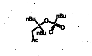 CCCCS(CCCC)(CC(C)=O)OS(=O)(=O)CCCC